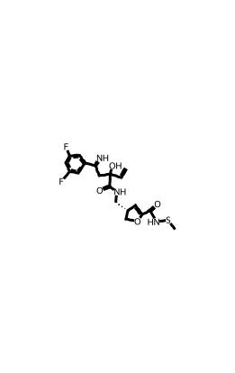 C=CC(O)(CC(=N)c1cc(F)cc(F)c1)C(=O)NC[C@@H]1C=C(C(=O)NSC)OC1